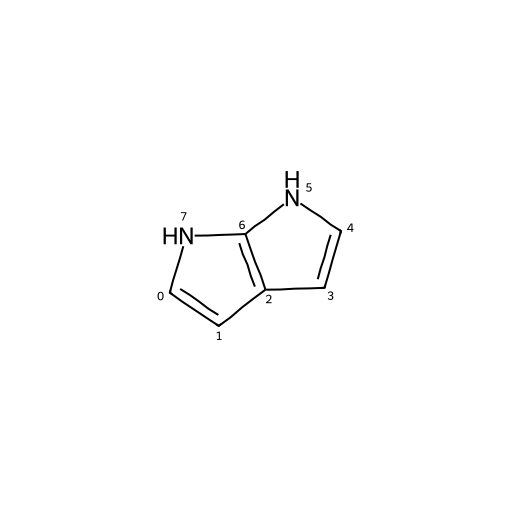 c1cc2cc[nH]c2[nH]1